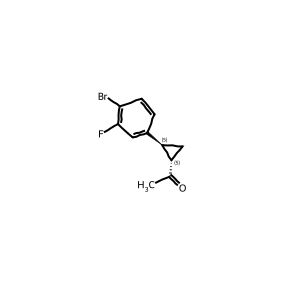 CC(=O)[C@H]1C[C@@H]1c1ccc(Br)c(F)c1